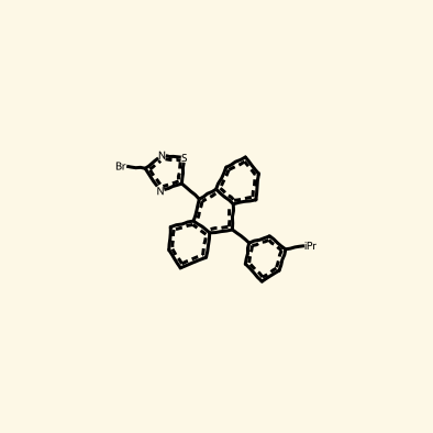 CC(C)c1cccc(-c2c3ccccc3c(-c3nc(Br)ns3)c3ccccc23)c1